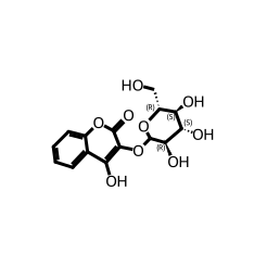 O=c1oc2ccccc2c(O)c1OC1O[C@H](CO)[C@@H](O)[C@H](O)[C@H]1O